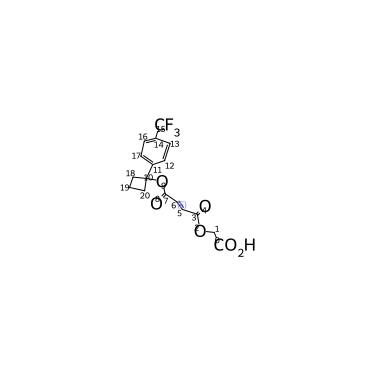 O=C(O)COC(=O)/C=C/C(=O)OC1(c2ccc(C(F)(F)F)cc2)CCC1